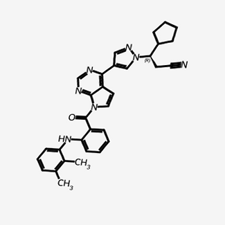 Cc1cccc(Nc2ccccc2C(=O)n2ccc3c(-c4cnn([C@H](CC#N)C5CCCC5)c4)ncnc32)c1C